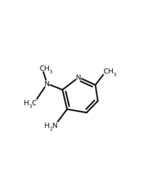 Cc1ccc(N)c(N(C)C)n1